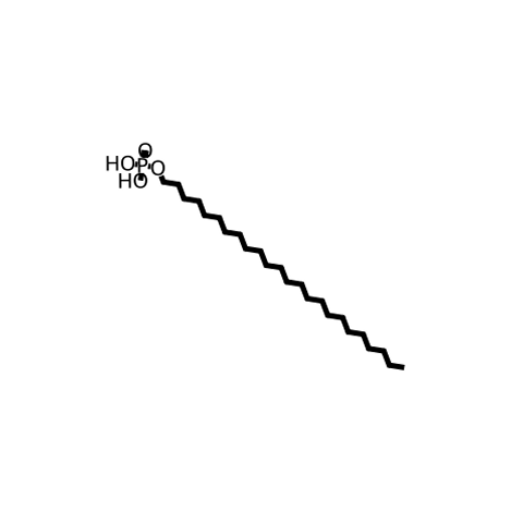 CCCCCCCCCCCCCCCCCCCCCCCCOP(=O)(O)O